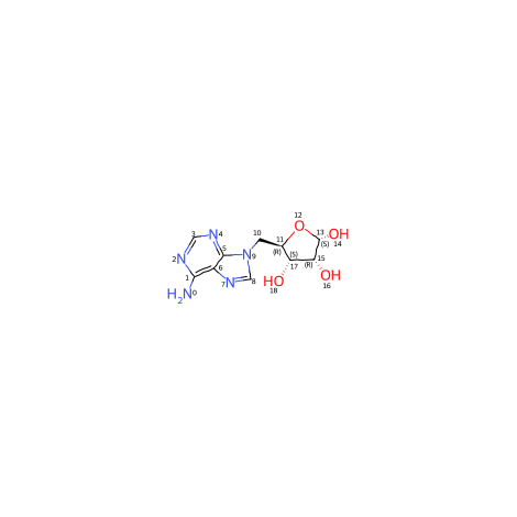 Nc1ncnc2c1ncn2C[C@H]1O[C@H](O)[C@H](O)[C@@H]1O